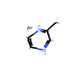 Cc1cnccn1.[Au]